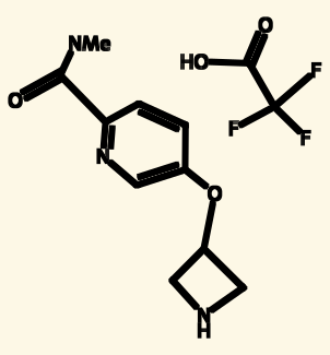 CNC(=O)c1ccc(OC2CNC2)cn1.O=C(O)C(F)(F)F